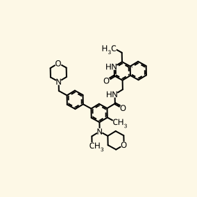 CCc1[nH]c(=O)c(CNC(=O)c2cc(-c3ccc(CN4CCOCC4)cc3)cc(N(CC)C3CCOCC3)c2C)c2ccccc12